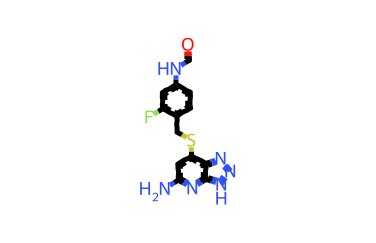 Nc1cc(SCc2ccc(NC=O)cc2F)c2nn[nH]c2n1